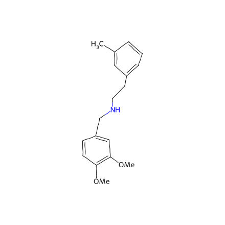 COc1ccc(CNCCc2cccc(C)c2)cc1OC